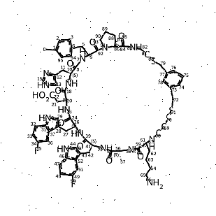 Cc1ccc(C[C@@H]2NC(=O)[C@H](Cc3c[nH]cn3)NC(=O)[C@H](CC(=O)O)NC(=O)[C@H](Cc3c[nH]c4ccc(F)cc34)NC(=O)[C@H](Cc3c[nH]c4ccc(F)cc34)NC(=O)[C@@H](C)NC(=O)[C@H](CCCCN)NCCCSCc3cccc(c3)CSCCNC(=O)[C@]3(C)CCCN3C2=O)cc1